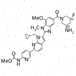 COC(=O)Nc1ccc(-c2ccc3cc(-c4nc5cc(C(=O)N6C[C@H](N)C[C@@H](F)C6)cc(OC)c5n4C)n(CC4CC4)c3n2)cn1